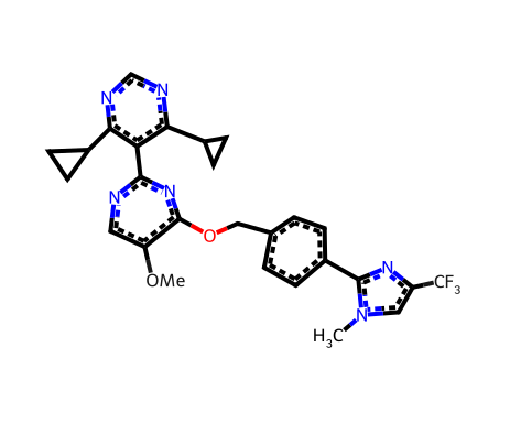 COc1cnc(-c2c(C3CC3)ncnc2C2CC2)nc1OCc1ccc(-c2nc(C(F)(F)F)cn2C)cc1